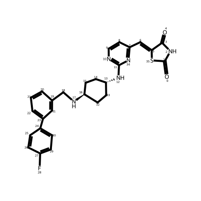 O=C1NC(=O)C(=Cc2ccnc(N[C@H]3CC[C@H](NCc4cccc(-c5ccc(F)cc5)c4)CC3)n2)S1